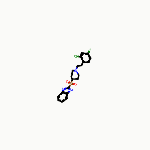 O=S(=O)(c1nc2ccccc2[nH]1)C1CCN(CCc2ccc(F)cc2Cl)CC1